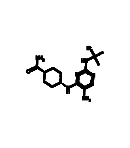 CCC(C)(C)Nc1ncc(N)c(N[C@H]2CC[C@H](C(N)=O)CC2)n1